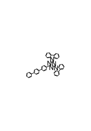 c1ccc(-c2ccc(-c3ccc(-c4nc(-n5c6ccccc6c6ccccc65)nc(-n5c6ccccc6c6ccccc65)n4)cc3)cc2)cc1